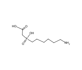 NCCCCCCP(=O)(O)CC(=O)O